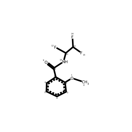 COc1ccccc1C(=O)NC(F)C(F)F